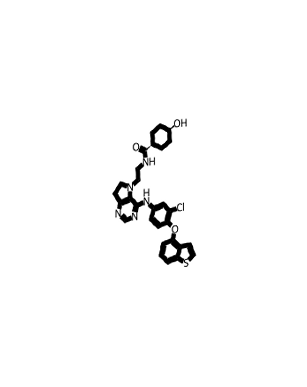 O=C(NCCN1CCc2ncnc(Nc3ccc(Oc4cccc5sccc45)c(Cl)c3)c21)[C@H]1CC[C@@H](O)CC1